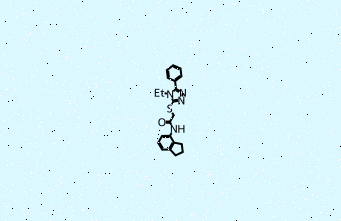 CCn1c(SCC(=O)Nc2cccc3c2CCC3)nnc1-c1ccccc1